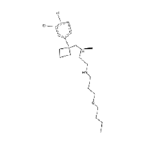 CCCCOCCCNCC[C@H](C)CC1(c2ccc(Cl)c(Cl)c2)CCC1